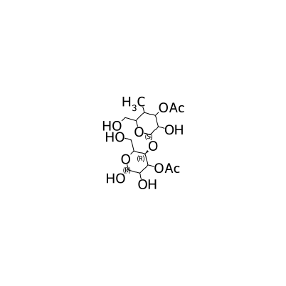 CC(=O)OC1C(C)C(CO)O[C@@H](O[C@@H]2C(CO)O[C@@H](O)C(O)C2OC(C)=O)C1O